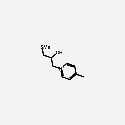 CSCC(O)C[n+]1ccc(C)cc1